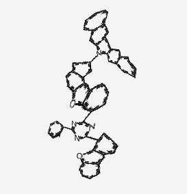 c1ccc(-c2nc(-c3cccc4c3oc3ccccc34)nc(-c3cccc4c3oc3ccc5ccc(-n6c7cc8ccccc8cc7c7cc8ccccc8cc76)cc5c34)n2)cc1